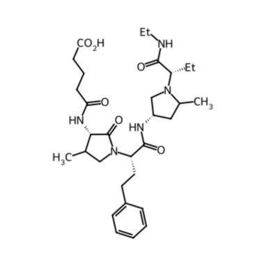 CCNC(=O)[C@H](CC)N1C[C@@H](NC(=O)[C@H](CCc2ccccc2)N2CC(C)[C@H](NC(=O)CCCC(=O)O)C2=O)CC1C